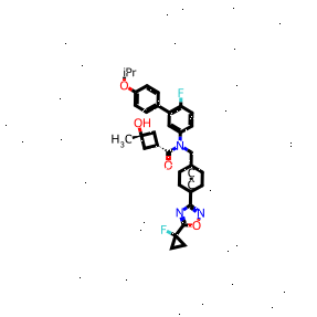 CC(C)Oc1ccc(-c2cc(N(CC34CCC(c5noc(C6(F)CC6)n5)(CC3)CC4)C(=O)[C@H]3C[C@@](C)(O)C3)ccc2F)cc1